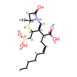 CCCCC/C=C\CC(C(=O)O)C1=CN2C(=O)C[C@H]2SC1CS(=O)O